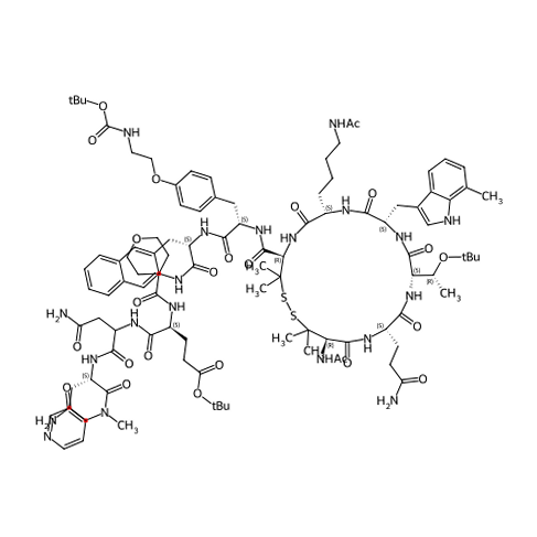 CC(=O)NCCCC[C@@H]1NC(=O)[C@H](Cc2c[nH]c3c(C)cccc23)NC(=O)[C@H]([C@@H](C)OC(C)(C)C)NC(=O)[C@H](CCC(N)=O)NC(=O)[C@@H](NC(C)=O)C(C)(C)SSC(C)(C)[C@@H](C(=O)N[C@@H](Cc2ccc(OCCNC(=O)OC(C)(C)C)cc2)C(=O)N[C@@H](Cc2ccc3ccccc3c2)C(=O)NC2(C(=O)N[C@@H](CCC(=O)OC(C)(C)C)C(=O)NC(CC(N)=O)C(=O)N[C@@H](Cc3cccnc3)C(=O)N(C)CC(N)=O)CCOCC2)NC1=O